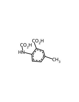 Cc1ccc(NC(=O)O)c(C(=O)O)c1